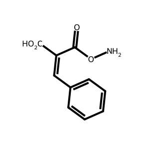 NOC(=O)C(=Cc1ccccc1)C(=O)O